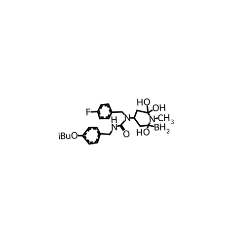 BC1(O)CC(N(Cc2ccc(F)cc2)C(=O)NCc2ccc(OCC(C)C)cc2)CC(O)(O)N1C